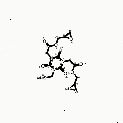 CSCn1c(=O)n(CC(=O)OCC2CO2)c(=O)n(CC(=O)OCC2CO2)c1=O